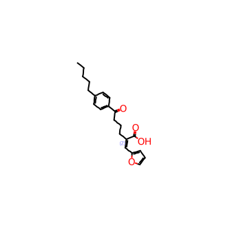 CCCCCc1ccc(C(=O)CCC/C(=C/c2ccco2)C(=O)O)cc1